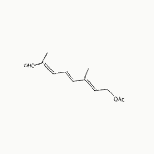 CC(=O)OC/C=C(C)/C=C/C=C(\C)C=O